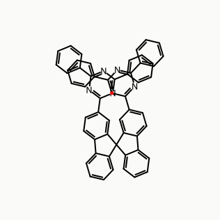 c1ccc(-c2cc(-c3ccc4c(c3)C3(c5ccccc5-4)c4ccccc4-c4ccc(-c5nc(-c6ccccc6)nc(-c6ccccc6)n5)cc43)nc(-c3ccccc3)n2)cc1